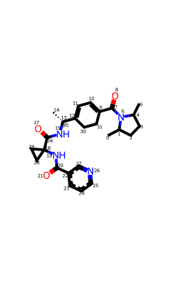 CC1CCC(C)N1C(=O)C1=CC=C([C@@H](C)NC(=O)C2(NC(=O)c3cccnc3)CC2)CC1